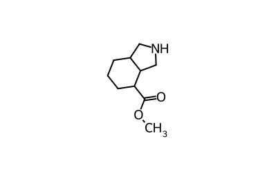 COC(=O)C1CCCC2CNCC21